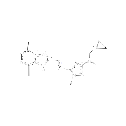 Cc1ncc(C)n2nc(/C=C/c3nc(N(C)CC4CC4)nn3C)nc12